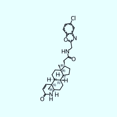 C[C@]12C=CC(=O)N[C@@H]1CC[C@@H]1[C@@H]2CC[C@]2(C)[C@@H](CC(=O)NCc3nc4cc(Cl)ccc4o3)CC[C@@H]12